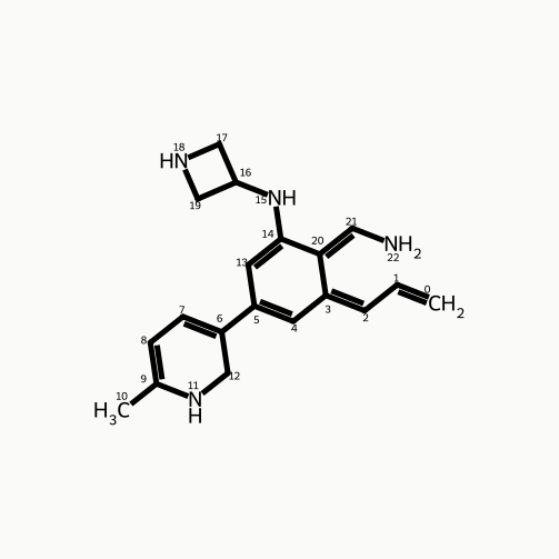 C=C/C=c1/cc(C2=CC=C(C)NC2)cc(NC2CNC2)/c1=C/N